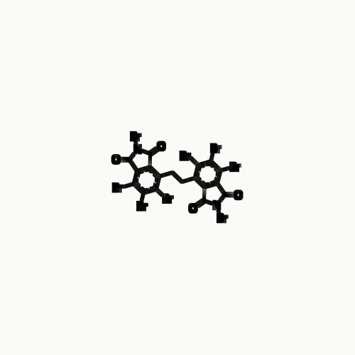 O=C1c2c(Br)c(Br)c(Br)c(CCc3c(Br)c(Br)c(Br)c4c3C(=O)N(Br)C4=O)c2C(=O)N1Br